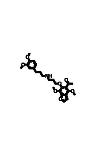 COc1ccc(CCCNCCCOc2c(C(C)=O)c(OC)c3ccoc3c2OC)cc1OC